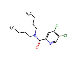 CCCCN(CCCC)C(=O)c1cc(Cl)c(Cl)cn1